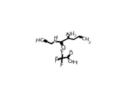 C#CCNC(=O)C(N)CC=C.O=C(O)C(F)(F)F